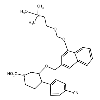 C[Si](C)(C)CCOCOc1cc(COC2CN(C(=O)O)CCC2c2ccc(C#N)cc2)cc2ccccc12